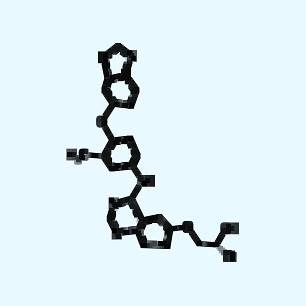 CC[C@@H](O)COc1ccc2ncnc(Nc3ccc(Oc4ccn5ncnc5c4)c(C)c3)c2c1